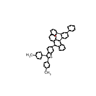 Cc1ccc(-c2sc3cc(-c4c5ccccc5c(-c5ccc(-c6ccccc6)cc5-c5ccccc5)c5ccccc45)ccc3c2-c2ccc(C)cc2)cc1